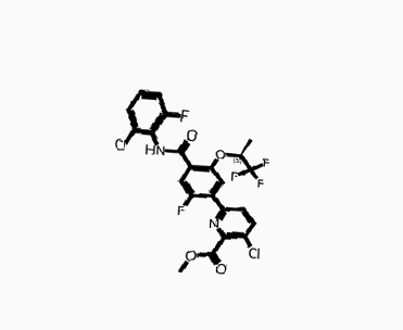 COC(=O)c1nc(-c2cc(O[C@@H](C)C(F)(F)F)c(C(=O)Nc3c(F)cccc3Cl)cc2F)ccc1Cl